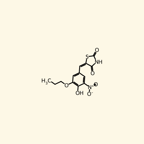 CCCOc1cc(C=C2SC(=O)NC2=O)cc([N+](=O)[O-])c1O